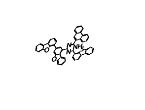 c1ccc2c(c1)cc(C1=NC(c3cc(-c4cccc5c4oc4ccccc45)cc4oc5ccccc5c34)=NC(c3cccc4c3sc3ccccc34)N1)c1ccccc12